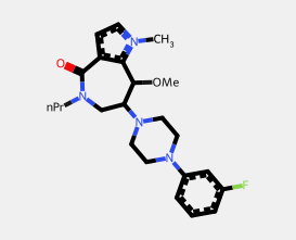 CCCN1CC(N2CCN(c3cccc(F)c3)CC2)C(OC)c2c(ccn2C)C1=O